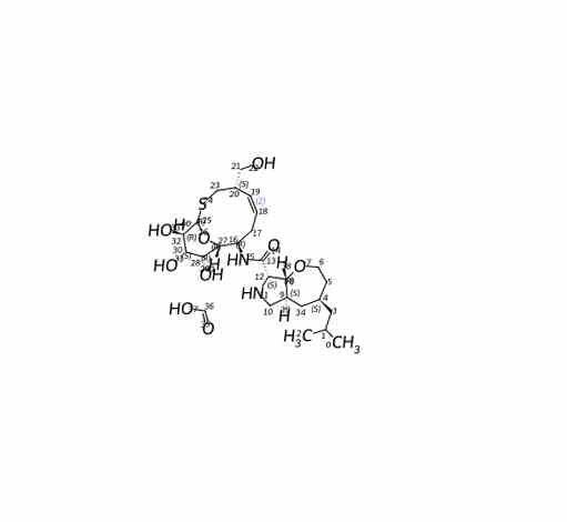 CC(C)C[C@@H]1CCO[C@@H]2[C@H](CN[C@@H]2C(=O)N[C@@H]2C/C=C\[C@@H](CO)CS[C@H]3O[C@H]2[C@H](O)[C@H](O)[C@H]3O)C1.O=CO